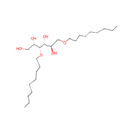 CCCCCCCCCOC[C@@H](O)[C@@H](O)[C@H](OCCCCCCCCC)[C@@H](O)CO